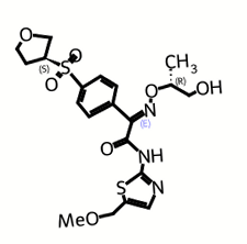 COCc1cnc(NC(=O)/C(=N/O[C@H](C)CO)c2ccc(S(=O)(=O)[C@H]3CCOC3)cc2)s1